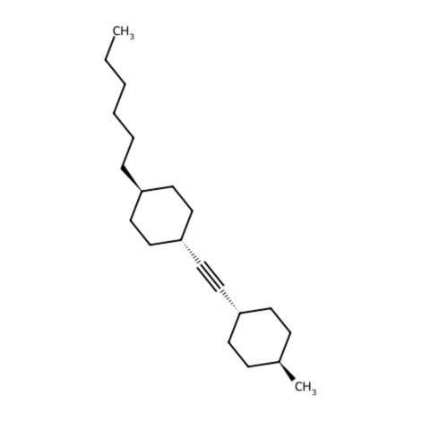 CCCCCC[C@H]1CC[C@H](C#C[C@H]2CC[C@H](C)CC2)CC1